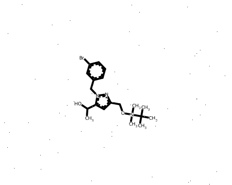 CC(O)c1cc(CO[Si](C)(C)C(C)(C)C)nn1Cc1cccc(Br)c1